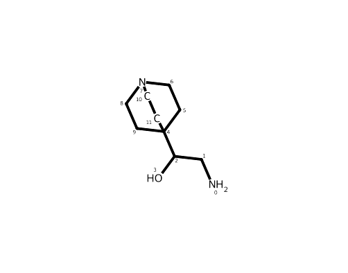 NCC(O)C12CCN(CC1)CC2